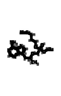 CCC(C)OP(=O)(CO[C@H](C)Cn1cnc2c(N)ncnc21)OCCSSC